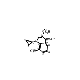 O=C(O)c1cn(C2CC2)c2c(Cl)[c]ccc2c1=O